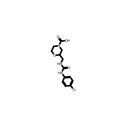 O=C(NCC1CN(C(=O)O)CCO1)Nc1ccc(Cl)cc1